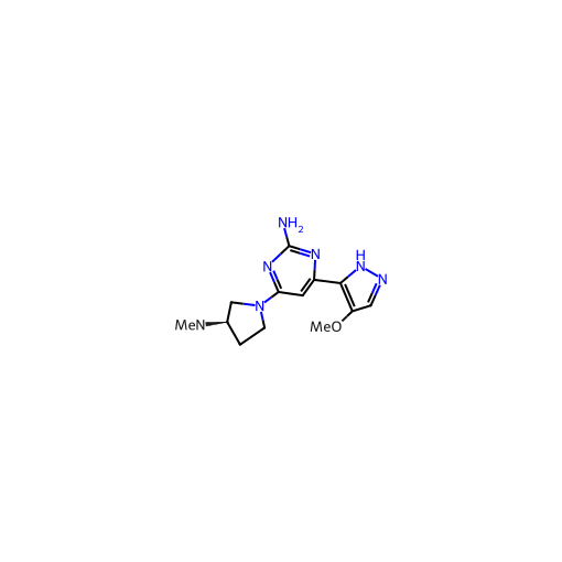 CN[C@@H]1CCN(c2cc(-c3[nH]ncc3OC)nc(N)n2)C1